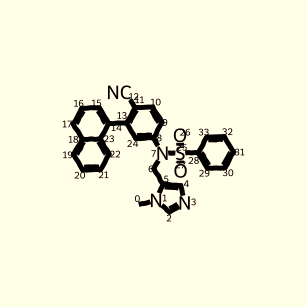 Cn1cncc1CN(c1ccc(C#N)c(-c2cccc3ccccc23)c1)S(=O)(=O)c1ccccc1